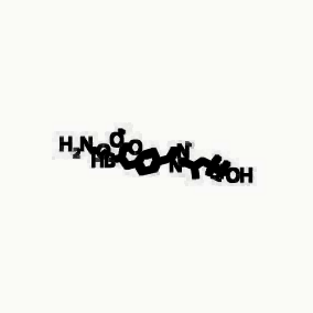 COC(=O)C(BOCN)Cc1ccc(-c2cn(C)c(C(C)CC(C)(C)[Si](C)(C)O)n2)cc1